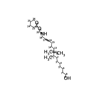 CC(CCCCCCCO)C(C)(C)CCCC#CCNCOC1CCCCO1